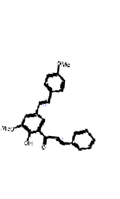 COc1ccc(/C=C/c2cc(OC)c(O)c(C(=O)/C=C/c3ccccc3)c2)cc1